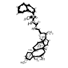 CC[C@H]1C[C@@H]2[C@H](CC[C@]3(C)[C@@H]([C@H](C)CCNC(=O)NS(=O)(=O)c4cccc5ccccc45)CC[C@@H]23)[C@@]2(C)CC[C@@H](O)C[C@@H]12